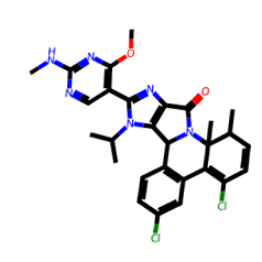 CNc1ncc(-c2nc3c(n2C(C)C)C2c4ccc(Cl)cc4C4=C(Cl)C=CC(C)C4(C)N2C3=O)c(OC)n1